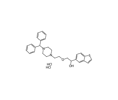 Cl.Cl.OC(COCCN1CCN(C(c2ccccc2)c2ccccc2)CC1)c1ccc2sccc2c1